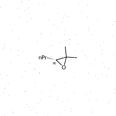 CCC[C@H]1OC1(C)C